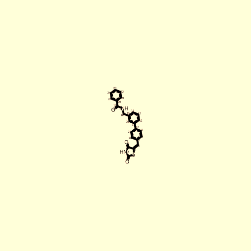 O=C1NC(=O)/C(=C\c2ccc(-c3cccc(CNC(=O)c4ccccc4)c3)cc2)S1